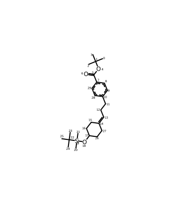 CC(C)(C)OC(=O)c1ccc(CCC=C2CCC(O[Si](C)(C)C(C)(C)C)CC2)cc1